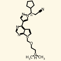 C[SiH](C)CCOCn1ccc2c(-c3cnn([C@H](CC#N)C4CCCC4)c3)ncnc21